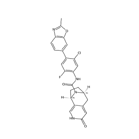 Cc1nc2ccc(-c3cc(F)c(NC(=O)N4[C@H]5CC[C@@H]4c4c[nH]c(=O)cc4C5)cc3Cl)cc2o1